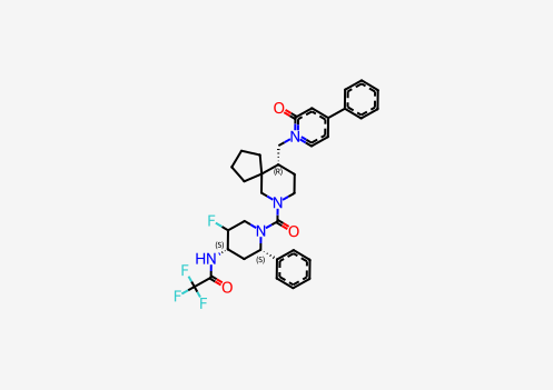 O=C(N1CC[C@@H](Cn2ccc(-c3ccccc3)cc2=O)C2(CCCC2)C1)N1CC(F)[C@@H](NC(=O)C(F)(F)F)C[C@H]1c1ccccc1